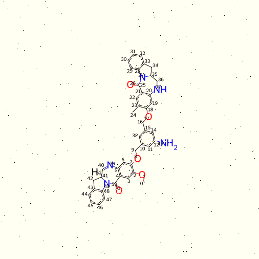 COc1cc2c(cc1OCc1cc(N)cc(COc3cc4c(cc3C)C(=O)N3c5ccccc5CC3CN4)c1)N=C[C@@H]1Cc3ccccc3N1C2=O